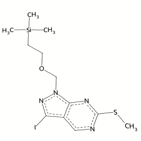 CSc1ncc2c(I)nn(COCC[Si](C)(C)C)c2n1